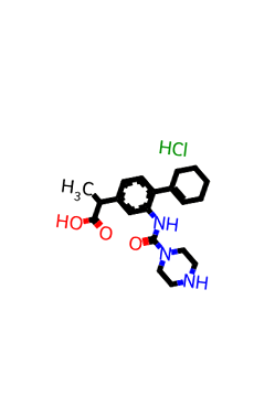 CC(C(=O)O)c1ccc(C2=CCCCC2)c(NC(=O)N2CCNCC2)c1.Cl